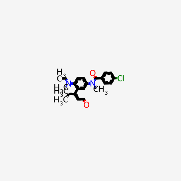 CCN(C)c1ccc(N(C)C(=O)c2ccc(Cl)cc2)cc1/C(=C\C=O)C(C)C